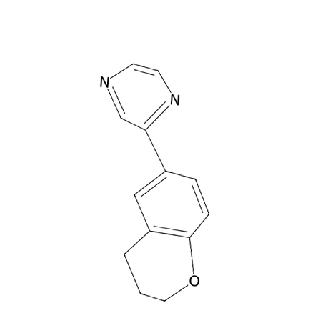 c1cnc(-c2ccc3c(c2)CCCO3)cn1